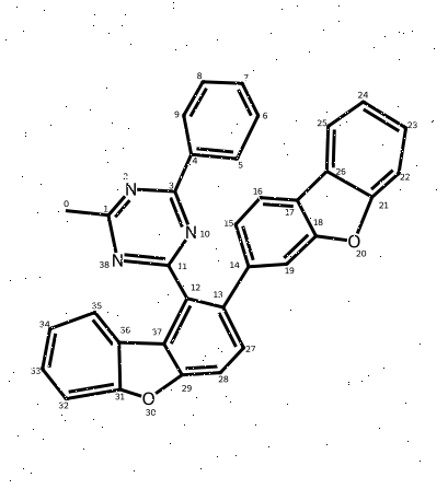 Cc1nc(-c2ccccc2)nc(-c2c(-c3ccc4c(c3)oc3ccccc34)ccc3oc4ccccc4c23)n1